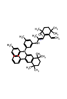 C=CC1=C(/C=C(\C)Nc2cc(C)cc(N(c3cccc(C)c3)c3cc4c(cc3-c3ccccc3)C(C)(C)CCC4(C)C)c2)C(C)(C)CCC1(C)C